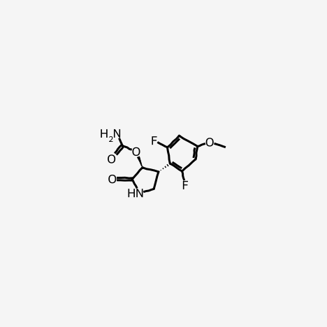 COc1cc(F)c([C@@H]2CNC(=O)[C@H]2OC(N)=O)c(F)c1